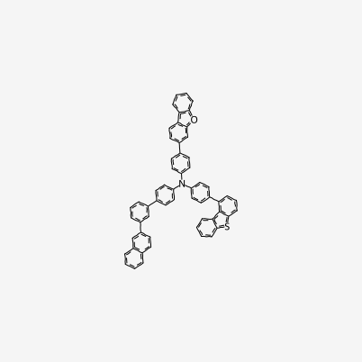 c1cc(-c2ccc(N(c3ccc(-c4ccc5c(c4)oc4ccccc45)cc3)c3ccc(-c4cccc5sc6ccccc6c45)cc3)cc2)cc(-c2ccc3ccccc3c2)c1